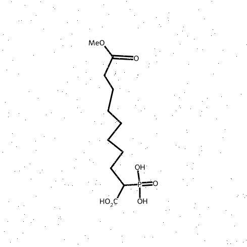 COC(=O)CCCCCCCC(C(=O)O)P(=O)(O)O